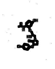 CC(=O)Nc1ccc(O)cc1OC[C@@H](O)CN1CCC(Oc2ccc(Cl)cc2)C1=O